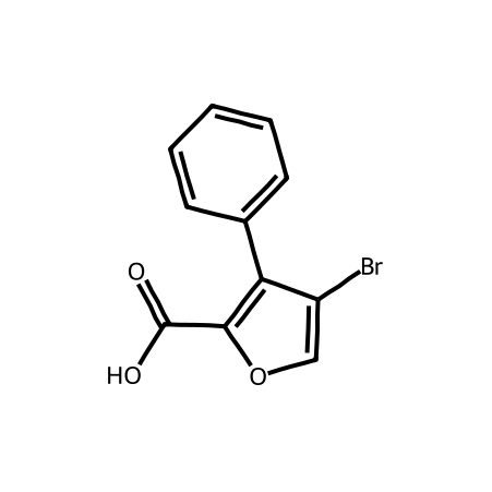 O=C(O)c1occ(Br)c1-c1ccccc1